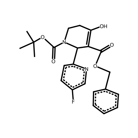 CC(C)(C)OC(=O)N1CCC(O)=C(C(=O)OCc2ccccc2)C1c1ccc(F)cn1